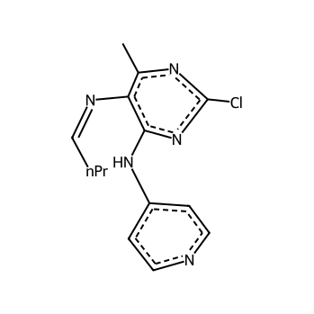 CCC/C=N\c1c(C)nc(Cl)nc1Nc1ccncc1